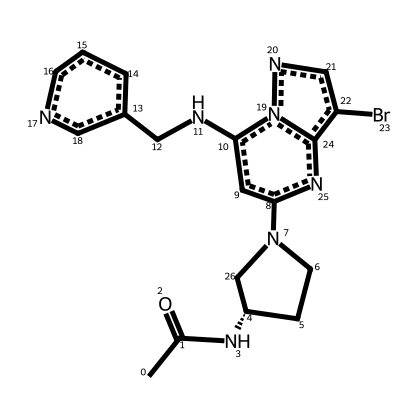 CC(=O)N[C@H]1CCN(c2cc(NCc3cccnc3)n3ncc(Br)c3n2)C1